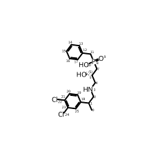 CC(CNC[C@H](O)CP(=O)(O)Cc1ccccc1)c1ccc(Cl)c(Cl)c1